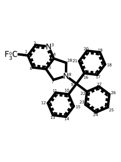 FC(F)(F)c1cnc2c(c1)CN(C(c1ccccc1)(c1ccccc1)c1ccccc1)C2